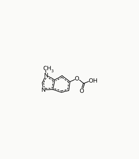 Cn1cnc2ccc(OC(=O)O)cc21